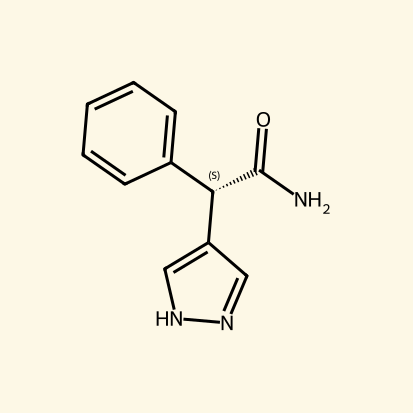 NC(=O)[C@@H](c1ccccc1)c1cn[nH]c1